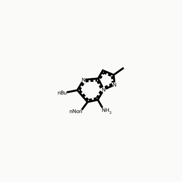 CCCCCCCCCc1c(CCCC)nc2cc(C)nn2c1N